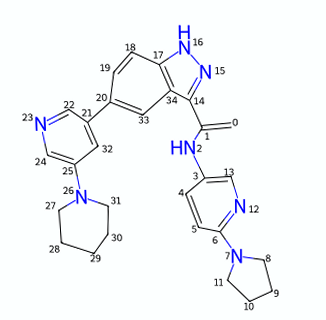 C=C(Nc1ccc(N2CCCC2)nc1)c1n[nH]c2ccc(-c3cncc(N4CCCCC4)c3)cc12